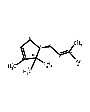 CC(=O)/C(C)=C/C[C@@H]1CC=C(C)C1(C)C